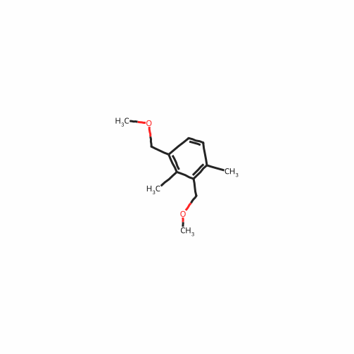 COCc1ccc(C)c(COC)c1C